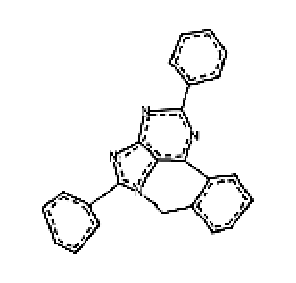 c1ccc(-c2nc3c4c(n2)nc(-c2ccccc2)n4Cc2ccccc2-3)cc1